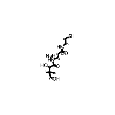 CC(C)(CO)C(O)C(=O)NCCC(=O)NCCS.[NaH]